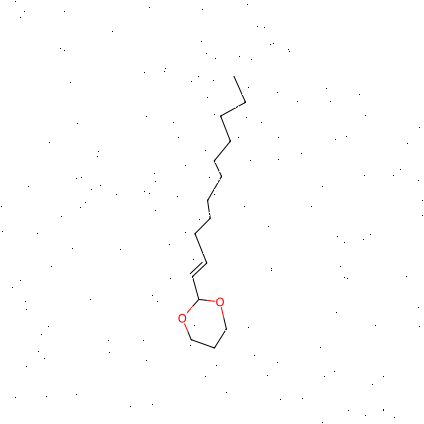 CCCCCCCCCC=CC1OCCCO1